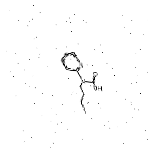 CCCCN(C(=O)O)c1ccccn1